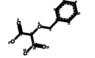 [O]C(=O)C(OCc1ccccc1)[N+](=O)[O-]